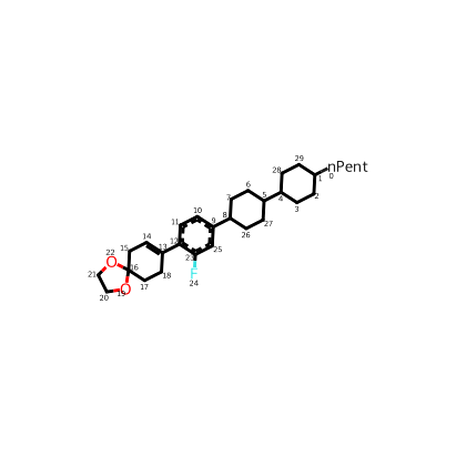 CCCCCC1CCC(C2CCC(c3ccc(C4=CCC5(CC4)OCCO5)c(F)c3)CC2)CC1